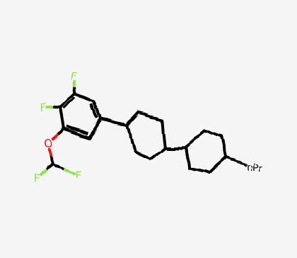 CCCC1CCC(C2CCC(c3cc(F)c(F)c(OC(F)F)c3)CC2)CC1